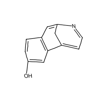 Oc1ccc2c(c1)C1=CC=NC(=C2)C1